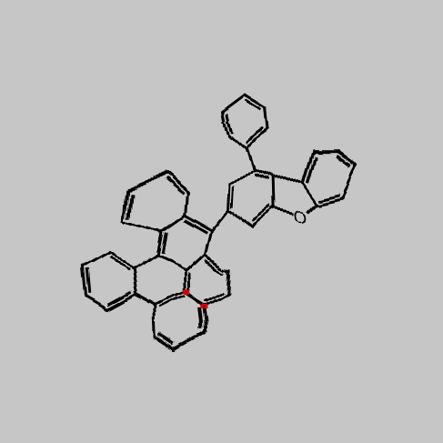 c1ccc(-c2ccccc2-c2c3ccccc3c(-c3cc(-c4ccccc4)c4c(c3)oc3ccccc34)c3ccccc23)cc1